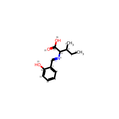 CCC(C)C(/N=C/c1ccccc1O)C(=O)O